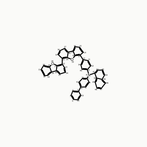 c1ccc(-c2ccc(N(c3ccc(-c4cccc5c4oc4c(-c6cccc7c6oc6ccccc67)cccc45)cc3)c3cccc4ccccc34)cc2)cc1